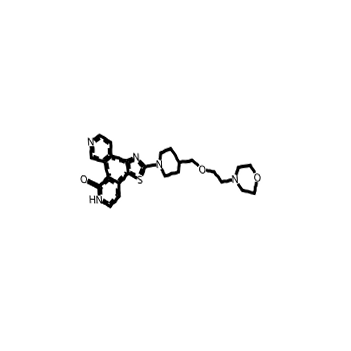 O=c1[nH]ccc2c3sc(N4CCC(COCCN5CCOCC5)CC4)nc3c3ccncc3c12